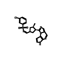 C[C@@H]1CC(/C=N\S(=O)(=O)c2cccc(Cl)c2)C[C@@H]1c1ncc2cnc3[nH]ccc3n12